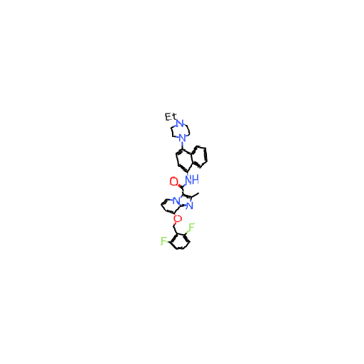 CCN1CCN(c2ccc(NC(=O)c3c(C)nc4c(OCc5c(F)cccc5F)cccn34)c3ccccc23)CC1